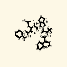 C[C@H](NC(=O)C(=O)C(CC(F)F)NC(=O)[C@@H]1[C@H]2CCC[C@H]2CN1C(=O)[C@H](NC(=O)c1ccnc2ccccc12)C(C)(C)C)c1ccccc1